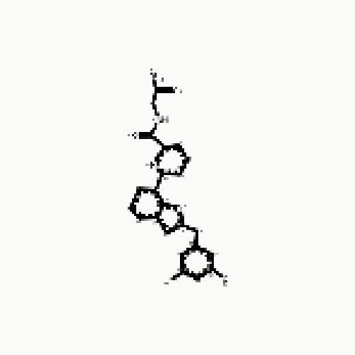 NC(=O)CNC(=O)c1cccc(-c2cccc3cc(Cc4cc(F)cc(Cl)c4)sc23)n1